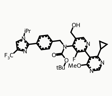 COc1ncnc(C2CC2)c1-c1ncc(CO)c(N(Cc2ccc(-c3nc(C(F)(F)F)cn3C(C)C)cc2)C(=O)OC(C)(C)C)c1F